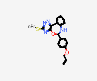 C=CCOc1ccc(C2Nc3ccccc3-c3nnc(SCCC)nc3O2)cc1